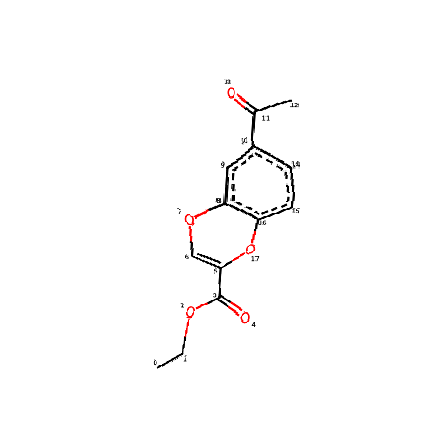 CCOC(=O)C1=COc2cc(C(C)=O)ccc2O1